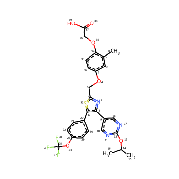 Cc1cc(OCc2nc(-c3cnc(OC(C)C)nc3)c(-c3ccc(OC(F)(F)F)cc3)s2)ccc1OCC(=O)O